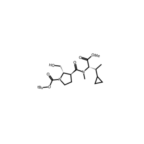 COC(=O)[C@H](C(C)C1CC1)N(C)C(=O)[C@H]1CCN(C(=O)OC(C)(C)C)[C@@H]1CO